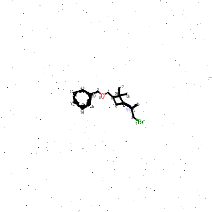 C/C(CBr)=C1/CC(COCc2ccccc2)C1(C)C